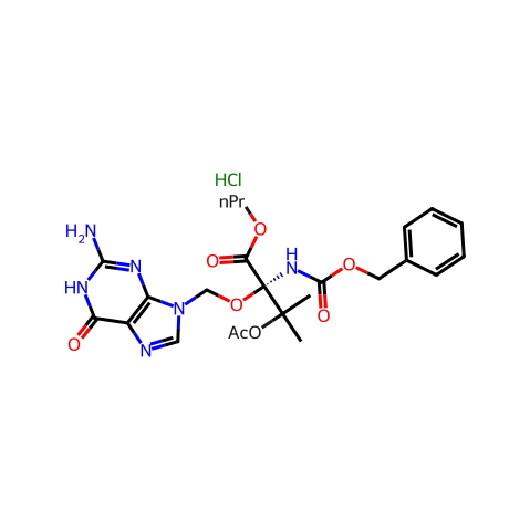 CCCOC(=O)[C@](NC(=O)OCc1ccccc1)(OCn1cnc2c(=O)[nH]c(N)nc21)C(C)(C)OC(C)=O.Cl